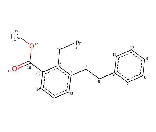 CC(C)Cc1c(CCc2ccccc2)cccc1C(=O)OC(F)(F)F